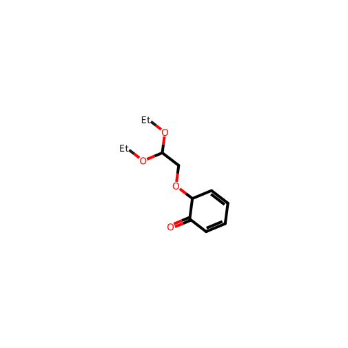 CCOC(COC1C=CC=CC1=O)OCC